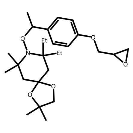 CCC1(CC)CC2(CC(C)(C)N1OC(C)c1ccc(OCC3CO3)cc1)OCC(C)(C)O2